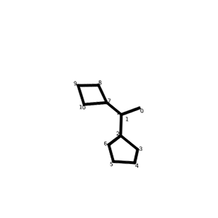 C[C](C1CCCC1)C1CCC1